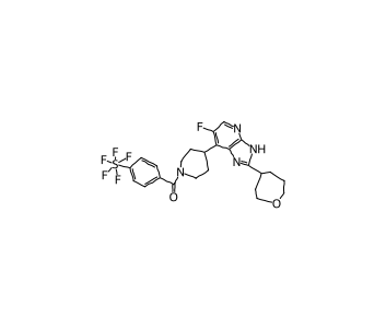 O=C(c1ccc(S(F)(F)(F)(F)F)cc1)N1CCC(c2c(F)cnc3[nH]c(C4CCCOCC4)nc23)CC1